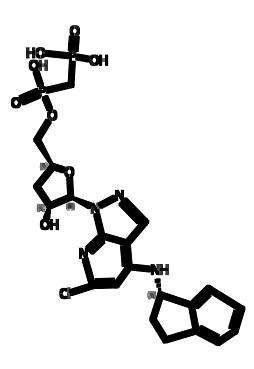 O=P(O)(O)CP(=O)(O)OC[C@@H]1C[C@H](O)[C@H](n2ncc3c(N[C@H]4CCc5ccccc54)cc(Cl)nc32)O1